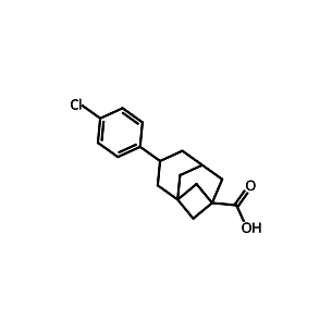 O=C(O)C12CC3CC(c4ccc(Cl)cc4)CC(C3)(C1)C2